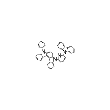 c1ccc(-n2c3ccccc3c3c4c5ccccc5n(-c5cccc(-n6c7ccccc7c7ccccc76)n5)c4ccc32)cc1